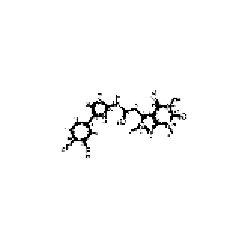 Cn1nc2c(c1CC(=O)Nc1nc(-c3ccc(F)c(F)c3)cs1)c(=O)n(C)c(=O)n2C